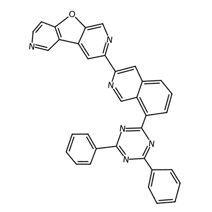 c1ccc(-c2nc(-c3ccccc3)nc(-c3cccc4cc(-c5cc6c(cn5)oc5ccncc56)ncc34)n2)cc1